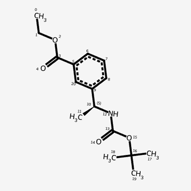 CCOC(=O)c1cccc([C@H](C)NC(=O)OC(C)(C)C)c1